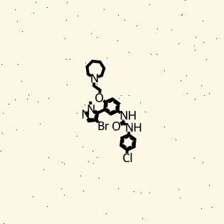 Cn1ncc(Br)c1-c1cc(NC(=O)Nc2ccc(Cl)cc2)ccc1OCCN1CCCCCC1